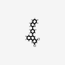 Clc1cc(Cl)c2cc(-c3ccc(-c4ccc5ccccc5n4)cc3)c3ccccc3c2n1